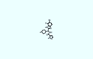 CC1CCC(C(NC(=O)c2ccnn2C)c2nc3ccc(Br)c(F)c3n2C)CC1